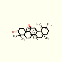 C[C@@H]1CC[C@]2(C)CC[C@]3(C)C(=CC(=O)C4[C@@]5(C)CC[C@H](Br)C(C)(C)C5CC[C@]43C)C2[C@H]1C